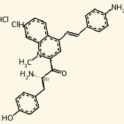 C[n+]1c(C(=O)[C@@H](N)Cc2ccc(O)cc2)cc(C=Cc2ccc(N)cc2)c2ccccc21.Cl.Cl